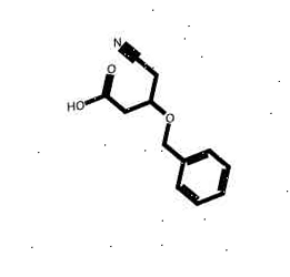 N#CCC(CC(=O)O)OCc1ccccc1